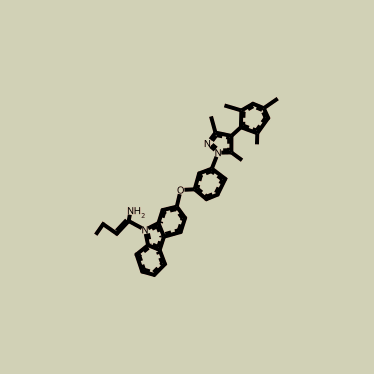 CC/C=C(\N)n1c2ccccc2c2ccc(Oc3cccc(-n4nc(C)c(-c5c(C)cc(C)cc5C)c4C)c3)cc21